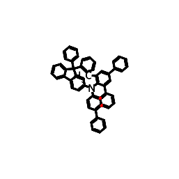 Cc1cc(-c2ccccc2)cc(-c2ccccc2)c1N(c1ccc(-c2ccccc2)cc1)c1ccc2c(c1)C(c1ccccc1)(c1ccccc1)c1ccccc1-2